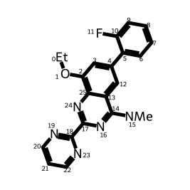 CCOc1cc(-c2ccccc2F)cc2c(NC)nc(-c3ncccn3)nc12